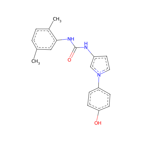 Cc1ccc(C)c(NC(=O)Nc2ccn(-c3ccc(O)cc3)c2)c1